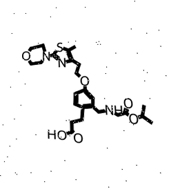 Cc1sc(N2CCOCC2)nc1CCOc1ccc(CCC(=O)O)c(CNCC(=O)OC(C)C)c1